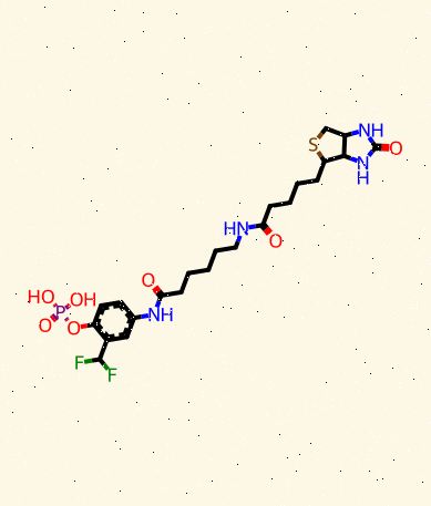 O=C(CCCCC1SCC2NC(=O)NC21)NCCCCCC(=O)Nc1ccc(OP(=O)(O)O)c(C(F)F)c1